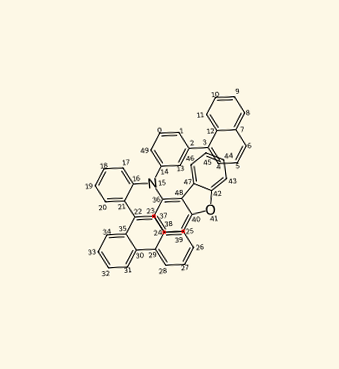 c1cc(-c2cccc3ccccc23)cc(N(c2ccccc2-c2cc3ccccc3c3ccccc23)c2cccc3oc4ccccc4c23)c1